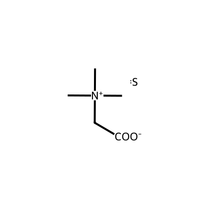 C[N+](C)(C)CC(=O)[O-].[S]